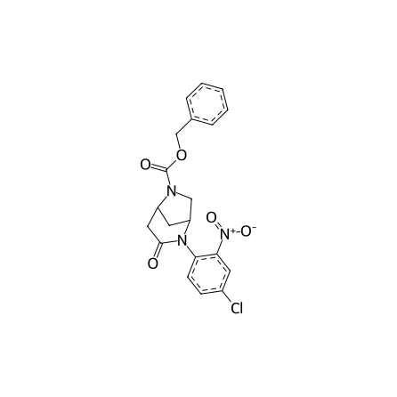 O=C(OCc1ccccc1)N1CC2CC1CC(=O)N2c1ccc(Cl)cc1[N+](=O)[O-]